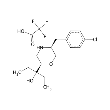 CCC(O)(CC)[C@H]1CN[C@@H](Cc2ccc(Cl)cc2)CO1.O=C(O)C(F)(F)F